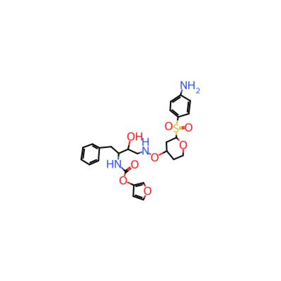 Nc1ccc(S(=O)(=O)C2CC(ONCC(O)C(Cc3ccccc3)NC(=O)Oc3ccoc3)CCO2)cc1